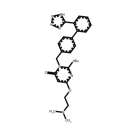 CCCCc1nc(OCCN(C)C)cc(=O)n1Cc1ccc(-c2ccccc2-c2nnn[nH]2)cc1